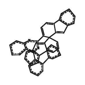 C1=CC2(C3=Cc4ccccc4C3=C1)C1=Cc3ccccc3C1=CC=C2c1nc(-c2ccccc2-c2ccccc2)c2ccccc2n1